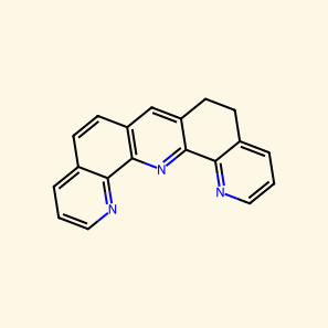 c1cnc2c(c1)CCc1cc3ccc4cccnc4c3nc1-2